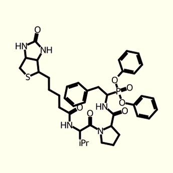 CC(C)C(NC(=O)CCCCC1SCC2NC(=O)NC21)C(=O)N1CCCC1C(=O)NC(Cc1ccccc1)P(=O)(Oc1ccccc1)Oc1ccccc1